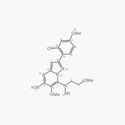 CCCN(CCOC)c1c(OC)c(N)nc2cc(-c3ccc(OC)cc3Cl)nn12